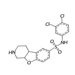 O=S(=O)(Nc1ccc(Cl)c(Cl)c1)c1ccc2c(c1)C1CCNCC1O2